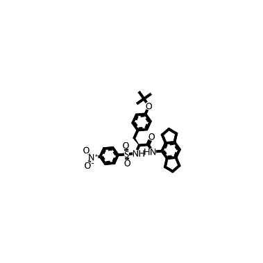 CC(C)(C)Oc1ccc(C[C@H](NS(=O)(=O)c2ccc([N+](=O)[O-])cc2)C(=O)Nc2c3c(cc4c2CCC4)CCC3)cc1